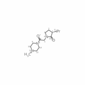 CC(C)[C@@H]1CCN(CC(=O)N2CCN(C)CC2)C1=O